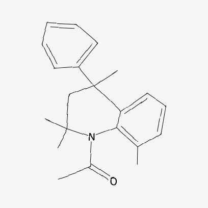 CC(=O)N1c2c(C)cccc2C(C)(c2ccccc2)CC1(C)C